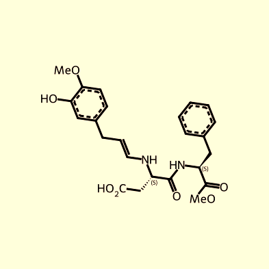 COC(=O)[C@H](Cc1ccccc1)NC(=O)[C@H](CC(=O)O)NC=CCc1ccc(OC)c(O)c1